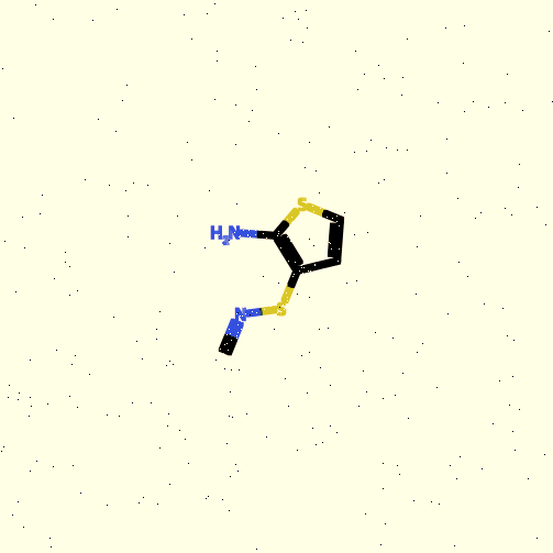 C=NSc1ccsc1N